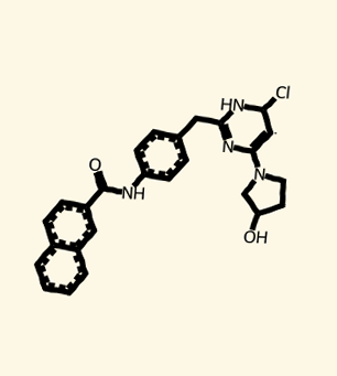 O=C(Nc1ccc(CC2=NC(N3CCC(O)C3)=[C]C(Cl)N2)cc1)c1ccc2ccccc2c1